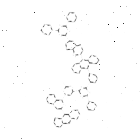 Cc1nc(-c2nc(-c3ccccc3)nc(-c3cccc(-c4c5ccccc5c(-c5ccc6cc(-c7nc(-c8ccccc8)nc(-c8ccccc8)n7)ccc6n5)c5ccccc45)c3)n2)cc(-c2nc(-c3c4ccccc4cc4ccccc34)cc3ccccc23)n1